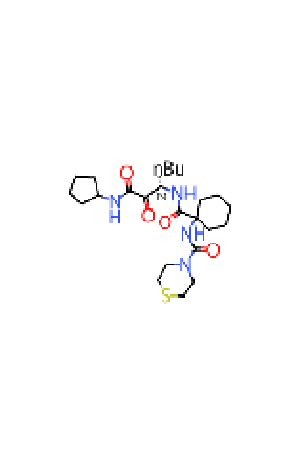 CCCC[C@H](NC(=O)C1(NC(=O)N2CCSCC2)CCCCC1)C(=O)C(=O)NC1CCCC1